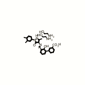 Cc1ccc(-n2[nH]c(C)c(N=Nc3cccc(-c4cccc(C(=O)O)c4)c3O)c2=O)cc1C.NCCO.NCCO